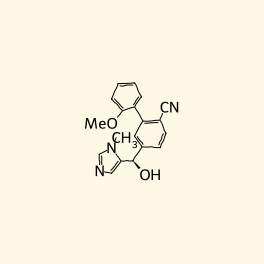 COc1ccccc1-c1cc([C@@H](O)c2cncn2C)ccc1C#N